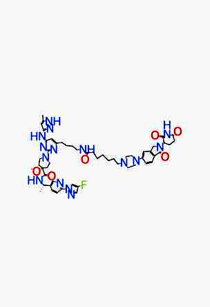 COC1(C(=O)N[C@@H](C)c2ccc(-n3cc(F)cn3)nc2)CCN(c2nc(CCCCNC(=O)CCCCCCN3CCN(c4ccc5c(c4)CN(C4CCC(=O)NC4=O)C5=O)CC3)cc(Nc3cc(C)[nH]n3)n2)CC1